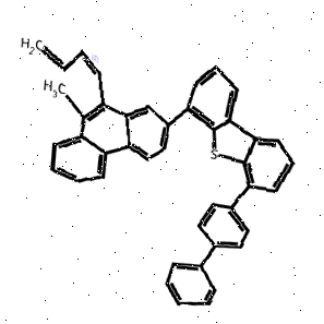 C=C/C=C\c1c(C)c2ccccc2c2ccc(-c3cccc4c3sc3c(-c5ccc(-c6ccccc6)cc5)cccc34)cc12